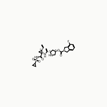 C=C[C@@H]1C[C@]1(NC(=C)[C@@H]1C[C@@H](OC(=O)N2Cc3cccc(F)c3C2)CN1)C(=O)NS(=O)(=O)C1CC1